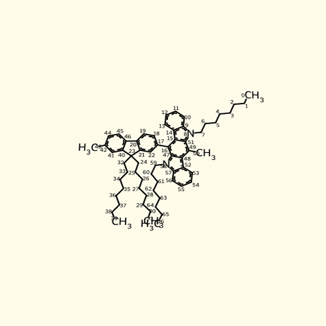 CCCCCCCCn1c2ccccc2c2c(-c3ccc4c(c3)C(CCCCCCCC)(CCCCCCCC)c3cc(C)ccc3-4)c3c(c(C)c21)c1ccccc1n3CCCCCCCC